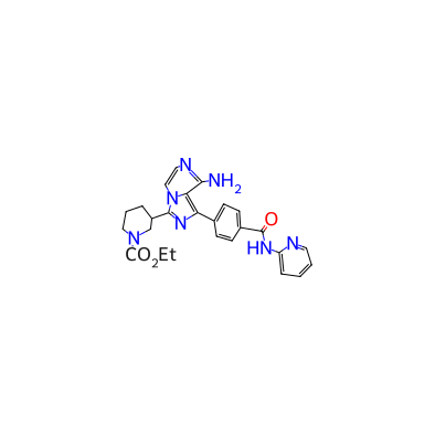 CCOC(=O)N1CCCC(c2nc(-c3ccc(C(=O)Nc4ccccn4)cc3)c3c(N)nccn23)C1